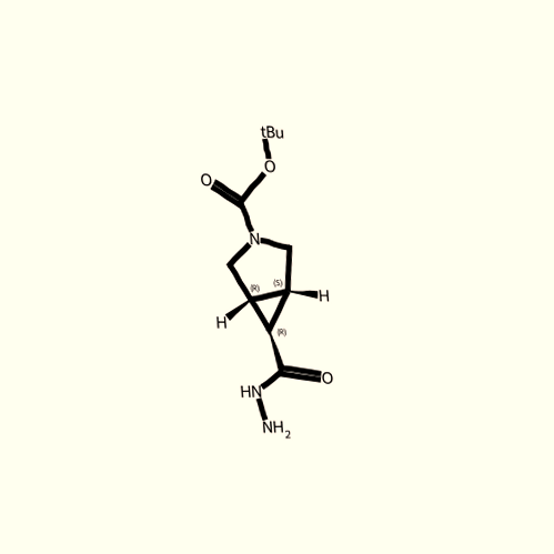 CC(C)(C)OC(=O)N1C[C@@H]2[C@H](C1)[C@H]2C(=O)NN